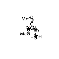 COCCCN1CCOc2ccc(OC[C@H]3CN(C(=O)CCCCON(O)O)CCN3c3ccc(OCCCOCc4ccccc4OC)cc3)cc21